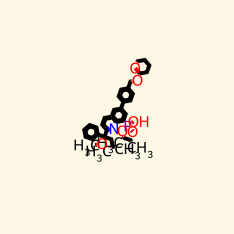 CCC(C)OP(=O)(O)c1cc(-c2ccc(COC3CCCCO3)cc2)cc2ccc(C(CC(C)C)(OC)c3ccccc3)nc12